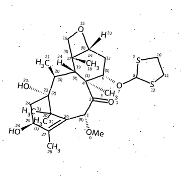 CO[C@H]1C(=O)[C@]2(C)[C@@H](OC3SCCS3)C[C@H]3OC[C@@]3(C)[C@H]2[C@H](C)[C@]2(O)C[C@H](O)C(C)=C1C2(C)C